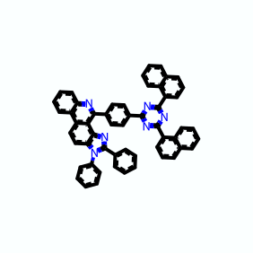 c1ccc(-c2nc3c4c(-c5ccc(-c6nc(-c7cccc8ccccc78)nc(-c7cccc8ccccc78)n6)cc5)nc5ccccc5c4ccc3n2-c2ccccc2)cc1